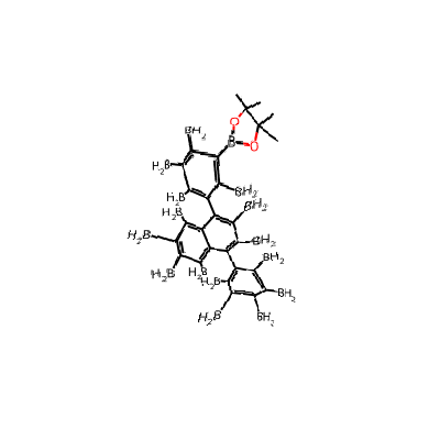 Bc1c(B)c(B)c(-c2c(B)c(B)c(-c3c(B)c(B)c(B)c(B4OC(C)(C)C(C)(C)O4)c3B)c3c(B)c(B)c(B)c(B)c23)c(B)c1B